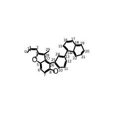 C/I=C\c1oc2ccc3oc4ccc(-c5cccc6ccccc56)cc4c3c2c1C